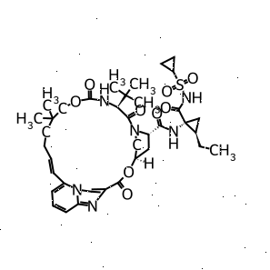 CC[C@@H]1C[C@]1(NC(=O)[C@@H]1C[C@@H]2CN1C(=O)[C@H](C(C)(C)C)NC(=O)OCC(C)(C)CC/C=C/c1cccc3nc(cn13)C(=O)O2)C(=O)NS(=O)(=O)C1CC1